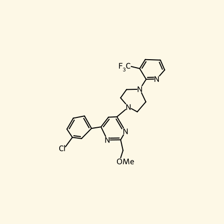 COCc1nc(-c2cccc(Cl)c2)cc(N2CCN(c3ncccc3C(F)(F)F)CC2)n1